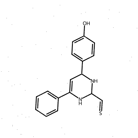 Oc1ccc(C2C=C(c3ccccc3)NC(C=S)N2)cc1